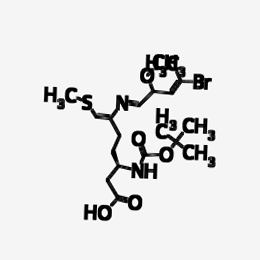 COC(/C=N/C(=C\SC)CC[C@H](CC(=O)O)NC(=O)OC(C)(C)C)/C=C(\C)Br